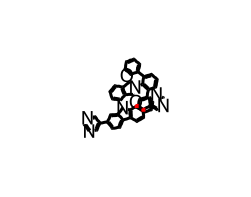 O=C1c2cccc(-n3c4cc(-c5cncnc5)ccc4c4ccc(-c5cncnc5)cc43)c2C(=O)N1c1c(-c2ccccc2)cccc1-c1ccccc1